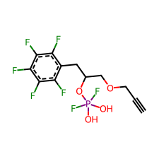 C#CCOCC(Cc1c(F)c(F)c(F)c(F)c1F)OP(O)(O)(F)F